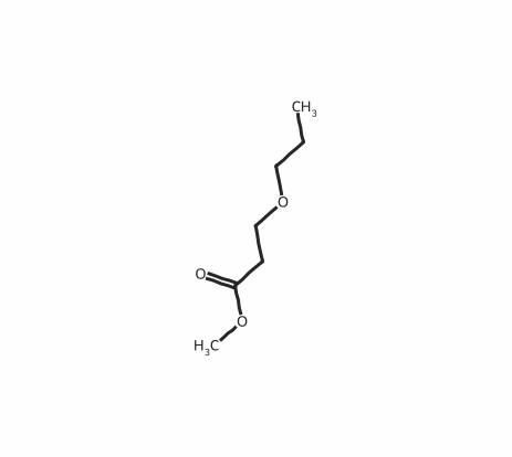 CCCOCCC(=O)OC